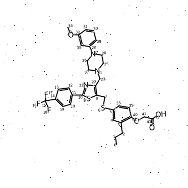 CCCc1cc(SCc2sc(-c3ccc(C(F)(F)F)cc3)nc2CN2CCN(c3cccc(OC)c3)CC2)ccc1OCC(=O)O